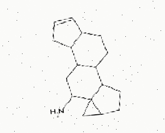 NC1CC2C3CC=CC3CCC2C2CCC3CC132